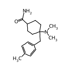 Cc1ccc(CC2(N(C)C)CCC(C(N)=O)CC2)cc1